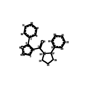 O=C(c1cnoc1-c1ccccc1)N1CCCC1c1ccccc1